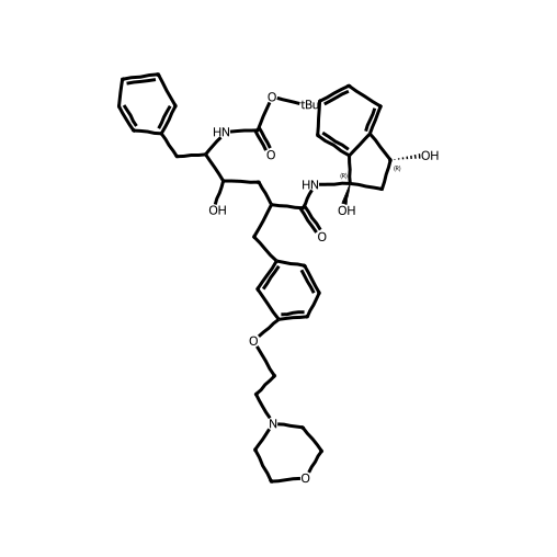 CC(C)(C)OC(=O)NC(Cc1ccccc1)C(O)CC(Cc1cccc(OCCN2CCOCC2)c1)C(=O)N[C@@]1(O)C[C@@H](O)c2ccccc21